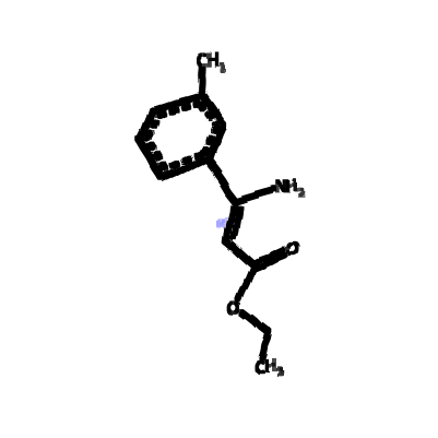 CCOC(=O)/C=C(\N)c1cccc(C)c1